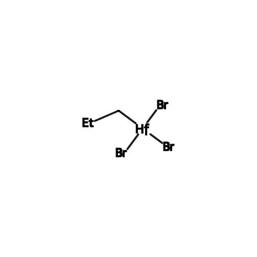 CC[CH2][Hf]([Br])([Br])[Br]